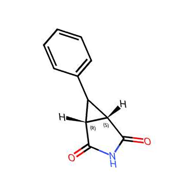 O=C1NC(=O)[C@H]2C(c3ccccc3)[C@@H]12